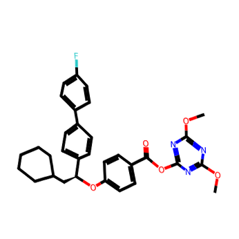 COc1nc(OC)nc(OC(=O)c2ccc(O[C@@H](CC3CCCCC3)c3ccc(-c4ccc(F)cc4)cc3)cc2)n1